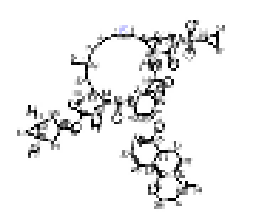 C[C@H]1CC/C=C\C2C[C@@]2(C(=O)NS(=O)(=O)C2CC2)NC(=O)[C@@H]2C[C@@H](Oc3nccc4c5c(ccc34)N(C)CCO5)CN2C(=O)[C@@H](NC(=O)O[C@@H]2C[C@@H]3C[C@@H]3C2)[C@H](C)C1